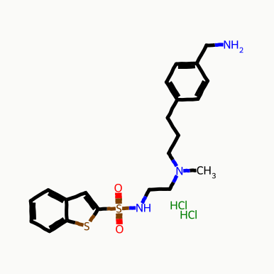 CN(CCCc1ccc(CN)cc1)CCNS(=O)(=O)c1cc2ccccc2s1.Cl.Cl